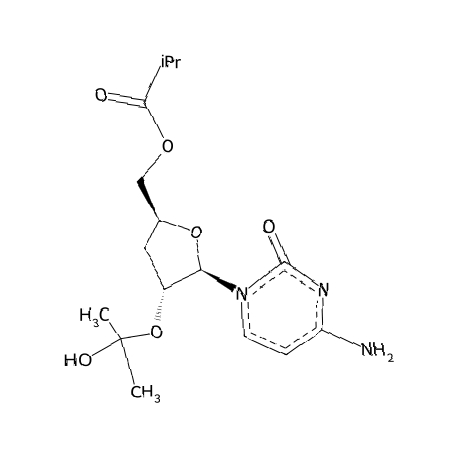 CC(C)C(=O)OC[C@@H]1C[C@@H](OC(C)(C)O)[C@H](n2ccc(N)nc2=O)O1